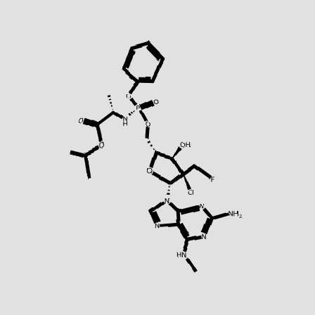 CNc1nc(N)nc2c1ncn2[C@@H]1O[C@H](CO[P@@](=O)(N[C@@H](C)C(=O)OC(C)C)Oc2ccccc2)[C@@H](O)[C@]1(Cl)CF